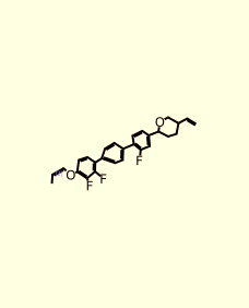 C=CC1CCC(c2ccc(-c3ccc(-c4ccc(O/C=C\C)c(F)c4F)cc3)c(F)c2)OC1